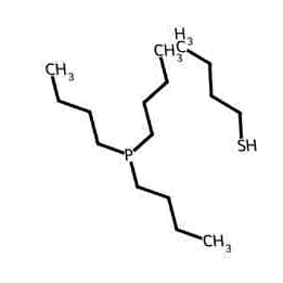 CCCCP(CCCC)CCCC.CCCCS